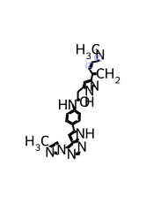 C=C(/C=C\C=N/C)c1cc(CC(=O)Nc2ccc(-c3cc4c(-n5cnc(C)c5)ncnc4[nH]3)cc2)[nH]n1